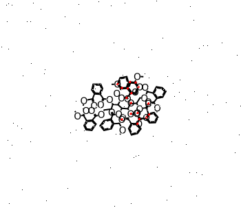 COC(=O)c1ccccc1C(=O)OCCC(OC(=O)c1ccccc1C(=O)OC)C(OC(=O)c1ccccc1C(=O)OC)C(OC(=O)c1ccccc1C(=O)OC)C(OC(=O)c1ccccc1C(=O)OC)C(OC(=O)c1ccccc1C(=O)OC)C(COC(=O)c1ccccc1C(=O)OC)OC(=O)c1ccccc1C(=O)OC